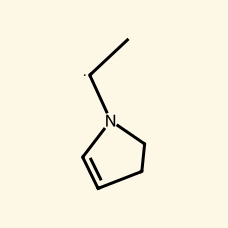 C[CH]N1C=CCC1